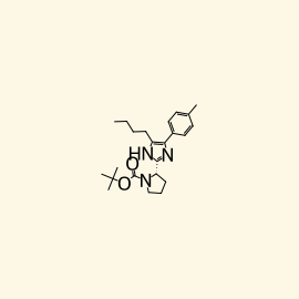 CCCCc1[nH]c([C@@H]2CCCN2C(=O)OC(C)(C)C)nc1-c1ccc(C)cc1